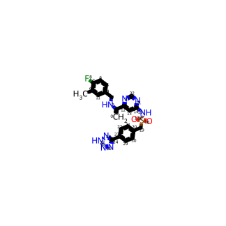 C=C(NCc1ccc(F)c(C)c1)c1cc(NS(=O)(=O)Cc2ccc(-c3nn[nH]n3)cc2)ncn1